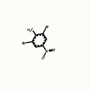 Cc1c(Br)cc([N+](=O)[O-])cc1Br